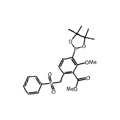 COC(=O)c1c(CS(=O)(=O)c2ccccc2)ccc(B2OC(C)(C)C(C)(C)O2)c1OC